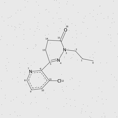 CCCN1N=C(c2ncccc2Cl)CCC1=O